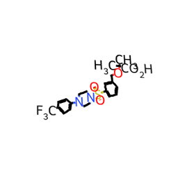 CC(C)(OCc1cccc(S(=O)(=O)N2CCN(c3ccc(C(F)(F)F)cc3)CC2)c1)C(=O)O